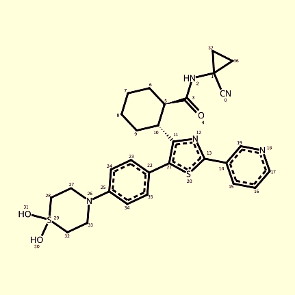 N#CC1(NC(=O)[C@@H]2CCCC[C@H]2c2nc(-c3cccnc3)sc2-c2ccc(N3CCS(O)(O)CC3)cc2)CC1